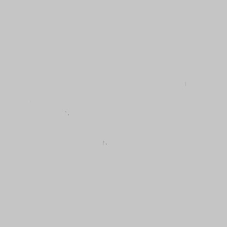 O=S(=O)(Oc1ccc2ncc(N3CCOCC3)cc2c1)C(F)(F)F